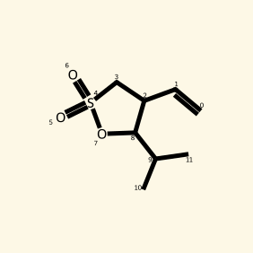 C=CC1CS(=O)(=O)OC1C(C)C